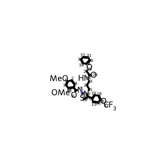 COc1ccc(C(=O)/N=c2\scc(-c3ccc(OC(F)(F)F)cc3)n2CCCNC(=O)COc2ccccc2)c(OC)c1